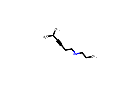 CCCNCCC#CC(C)C